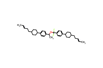 C/C=C/CCC1CCC(c2ccc(C(C)OC(F)(F)c3ccc(C4CCC(CC/C=C/C)CC4)cc3)cc2)CC1